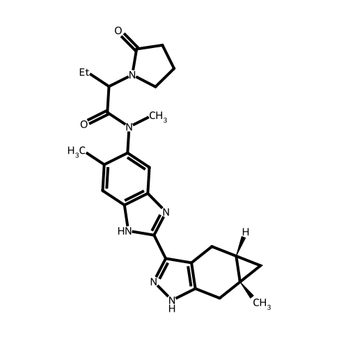 CCC(C(=O)N(C)c1cc2nc(-c3n[nH]c4c3C[C@@H]3C[C@]3(C)C4)[nH]c2cc1C)N1CCCC1=O